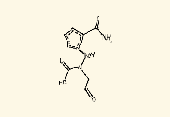 NC(=O)c1cccn1NN(CC=O)C(=O)O